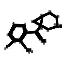 N=C(c1cccc(F)c1N)C12CNCCC1C2